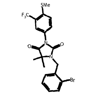 CSc1ccc(N2C(=O)N(Cc3ccccc3Br)C(C)(C)C2=O)cc1C(F)(F)F